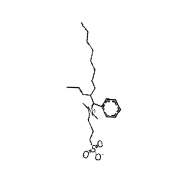 CCCCCCCCC(CCC)C(c1ccccc1)[N+](C)(C)CCCS(=O)(=O)[O-]